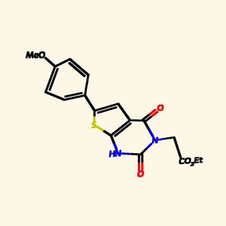 CCOC(=O)Cn1c(=O)[nH]c2sc(-c3ccc(OC)cc3)cc2c1=O